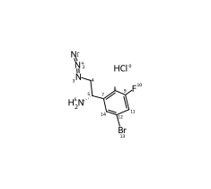 Cl.[N-]=[N+]=NC[C@@H](N)c1cc(F)cc(Br)c1